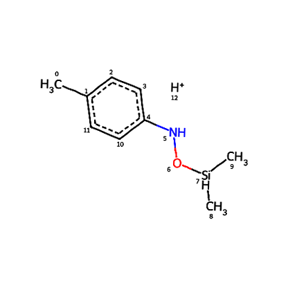 Cc1ccc(NO[SiH](C)C)cc1.[H+]